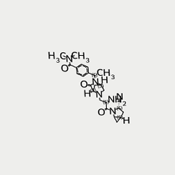 C[C@@H](c1ccc(C(=O)N(C)C)cc1)N1C(=O)[C@@H]2C[C@H]1CN2C[C@H](N)C(=O)N1C2C[C@H]2C[C@H]1C#N